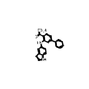 O=C(O)C(=O)c1ccc(-c2ccccc2)cc1Nc1ccc2[nH]ccc2c1